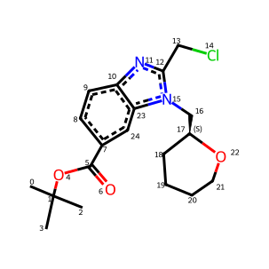 CC(C)(C)OC(=O)c1ccc2nc(CCl)n(C[C@@H]3CCCCO3)c2c1